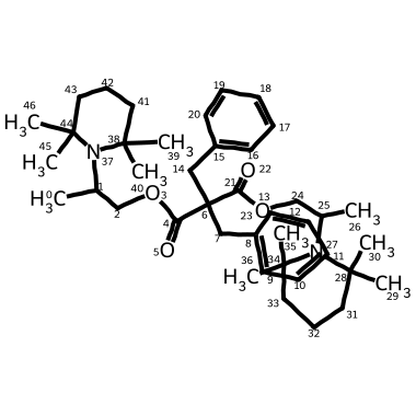 CC(COC(=O)C(Cc1ccccc1)(Cc1ccccc1)C(=O)OCC(C)N1C(C)(C)CCCC1(C)C)N1C(C)(C)CCCC1(C)C